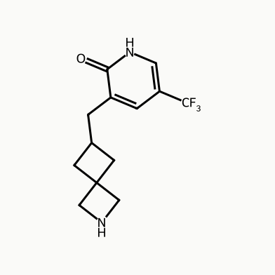 O=c1[nH]cc(C(F)(F)F)cc1CC1CC2(CNC2)C1